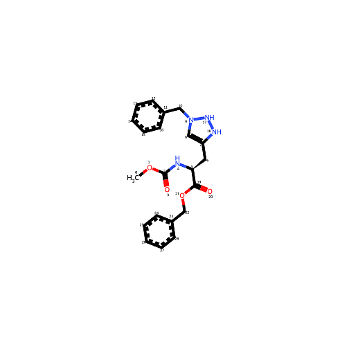 COC(=O)N[C@@H](CC1=CN(Cc2ccccc2)NN1)C(=O)OCc1ccccc1